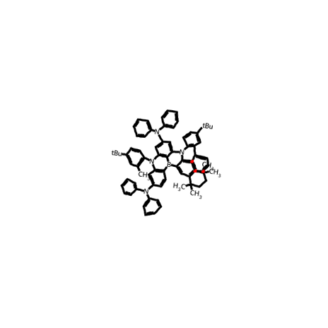 Cc1cc(C(C)(C)C)ccc1N1c2cc(N(c3ccccc3)c3ccccc3)ccc2B2c3cc4c(cc3N(c3ccc(C(C)(C)C)cc3-c3ccccc3)c3cc(N(c5ccccc5)c5ccccc5)cc1c32)C(C)(C)CCC4(C)C